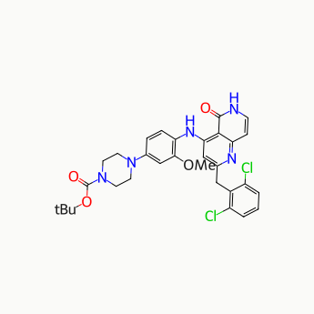 COc1cc(N2CCN(C(=O)OC(C)(C)C)CC2)ccc1Nc1cc(Cc2c(Cl)cccc2Cl)nc2cc[nH]c(=O)c12